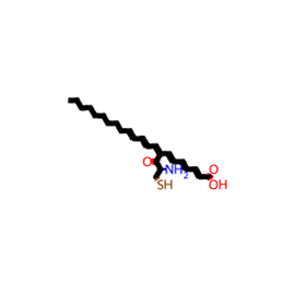 CCCCCCCCCC=CC=CC=C(C=CC=CC=CC(=O)O)C(=O)[C@@H](N)CS